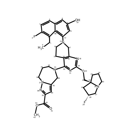 CCc1c(F)ccc2cc(O)cc(N3CCc4c(nc(OC[C@@]56CCCN5C[C@H](F)C6)nc4N4CCCn5nc(C(=O)OC)cc5C4)C3)c12